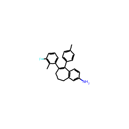 Cc1ccc(C2=C(c3cccc(F)c3C)CCCc3cc(N)ccc32)cc1